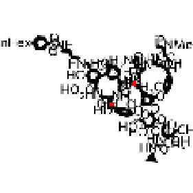 CCCCCCc1ccc(S(=O)(=O)NCCCCNCc2c(O)cc3c(c2C)-c2cc(ccc2O)[C@H]2NC(=O)[C@@H]4NC(=O)[C@H](CC(N)=O)NC(=O)[C@H](NC(=O)[C@@H](CC(C)C)NC)[C@H](O)c5ccc(c(C)c5)Oc5cc4cc(c5O[C@@H]4O[C@H](CO)[C@@H](O)[C@H](O)[C@H]4O[C@H]4C[C@](C)(NC(=O)NC5CC5)[C@H](O)[C@H](C)O4)Oc4ccc(cc4Cl)[C@@H](O)[C@H](NC2=O)C(=O)N[C@@H]3C(=O)O)cc1